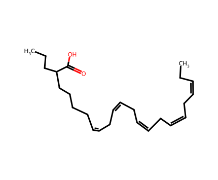 CC/C=C\C/C=C\C/C=C\C/C=C\C/C=C\CCCCC(CCC)C(=O)O